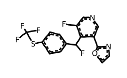 Fc1cncc(-c2ncco2)c1C(F)c1ccc(SC(F)(F)F)cc1